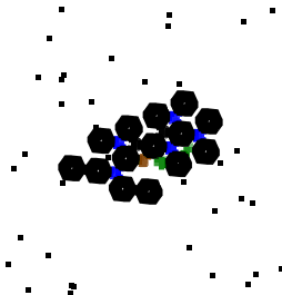 Fc1cccc(F)c1N1c2cc(N(c3ccccc3)c3ccccc3)cc3c2B(c2ccccc2N3c2ccccc2)c2cc3c(c(F)c21)Sc1cc(N(c2ccc(-c4ccccc4)cc2)c2cccc(-c4ccccc4)c2)cc2c1B3c1ccccc1N2c1ccccc1